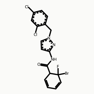 O=C(Nc1ccn(Cc2ccc(Cl)cc2Cl)n1)C1C=CC=CC1(F)Br